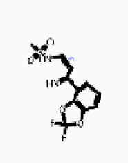 CS(=O)(=O)N/C=C\C(=N)c1cccc2c1OC(F)(F)O2